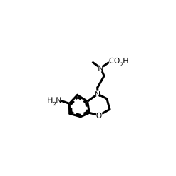 CN(CCN1CCOc2ccc(N)cc21)C(=O)O